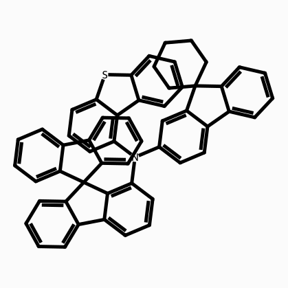 c1ccc2c(c1)-c1ccc(N(c3cccc4c3C3(c5ccccc5-c5ccccc53)c3ccccc3-4)c3cccc4sc5ccccc5c34)cc1C21CCCCC1